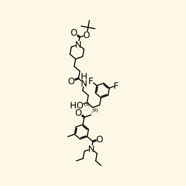 CCCN(CCC)C(=O)c1cc(C)cc(C(=O)C[C@@H](Cc2cc(F)cc(F)c2)[C@@H](O)CCNC(=O)CCC2CCN(C(=O)OC(C)(C)C)CC2)c1